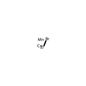 [Br][Zr].[Co].[Mn]